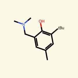 Cc1cc(CN(C)C)c(O)c(C(C)(C)C)c1